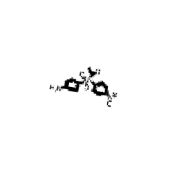 CC(=O)N(c1ccc([N+](=O)[O-])cc1)S(=O)(=O)c1ccc(N)cc1